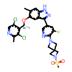 Cc1cc2[nH]nc(-c3cnc(N4CC5(C4)CN(S(C)(=O)=O)C5)c(F)c3)c2cc1O[C@H](C)c1c(Cl)cnc(C)c1Cl